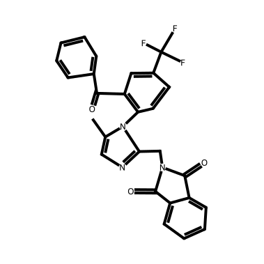 Cc1cnc(CN2C(=O)c3ccccc3C2=O)n1-c1ccc(C(F)(F)F)cc1C(=O)c1ccccc1